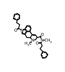 CN(C(=O)CCc1ccccc1)C(=O)C1C=C2c3cccc4c3c(cn4C(=O)CCc3ccccc3)CC2N(C)C1